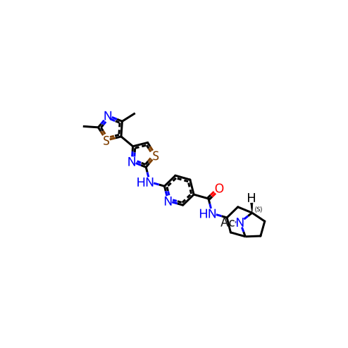 CC(=O)N1C2CC[C@H]1CC(NC(=O)c1ccc(Nc3nc(-c4sc(C)nc4C)cs3)nc1)C2